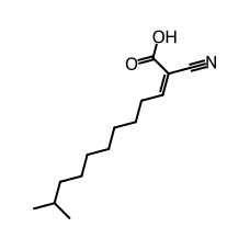 CC(C)CCCCCCCC=C(C#N)C(=O)O